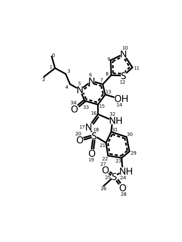 CC(C)CCn1nc(-c2cncs2)c(O)c(C2=NS(=O)(=O)c3cc(NS(C)(=O)=O)ccc3N2)c1=O